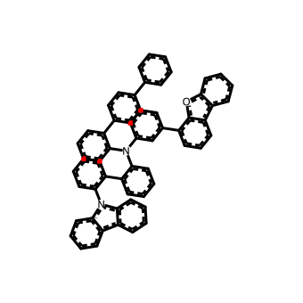 c1ccc(-c2ccc(-c3ccccc3N(c3cccc(-c4cccc5c4oc4ccccc45)c3)c3ccccc3-c3ccccc3-n3c4ccccc4c4ccccc43)cc2)cc1